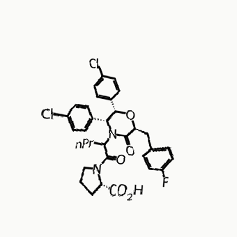 CCCC(C(=O)N1CCC[C@H]1C(=O)O)N1C(=O)[C@H](Cc2ccc(F)cc2)O[C@@H](c2ccc(Cl)cc2)[C@H]1c1ccc(Cl)cc1